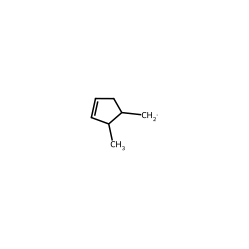 [CH2]C1CC=CC1C